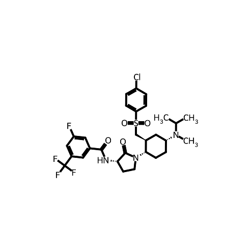 CC(C)N(C)[C@@H]1CC[C@H](N2CC[C@H](NC(=O)c3cc(F)cc(C(F)(F)F)c3)C2=O)[C@@H](CS(=O)(=O)c2ccc(Cl)cc2)C1